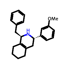 COc1cccc([C@@H]2CC3=C(CCCC3)[C@@H](Cc3ccccc3)N2)c1